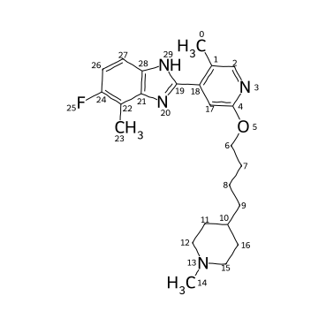 Cc1cnc(OCCCCC2CCN(C)CC2)cc1-c1nc2c(C)c(F)ccc2[nH]1